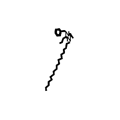 CCCCCCCCCCCCCCCCCCC[n+]1ccn(Cc2ccccc2)c1CCC